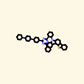 c1ccc(-c2ccc(-c3ccc(-c4nc(-c5ccccc5)nc(-c5ccccc5-n5c6ccccc6c6c7sc8ccccc8c7ccc65)n4)cc3)cc2)cc1